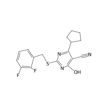 N#Cc1c(O)nc(SCc2cccc(F)c2F)nc1C1CCCC1